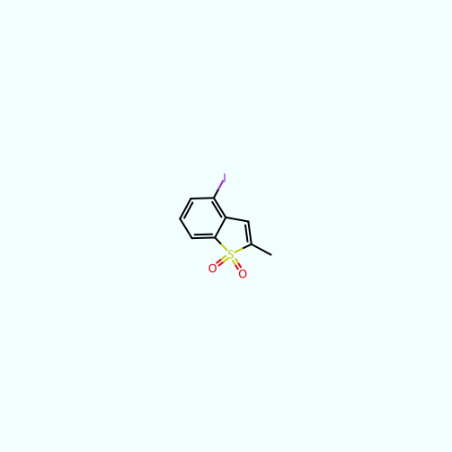 CC1=Cc2c(I)cccc2S1(=O)=O